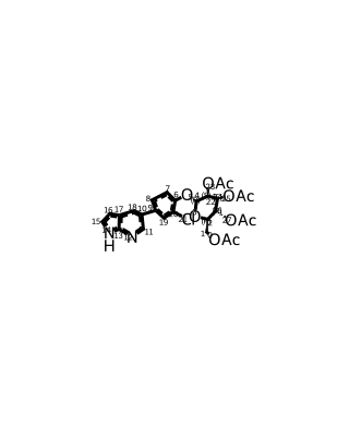 CC(=O)OC[C@H]1O[C@H](Oc2ccc(-c3cnc4[nH]ccc4c3)cc2Cl)[C@@H](OC(C)=O)[C@@H](OC(C)=O)[C@@H]1OC(C)=O